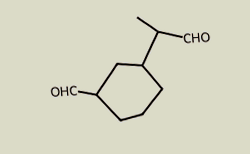 CC(C=O)C1CCCC(C=O)C1